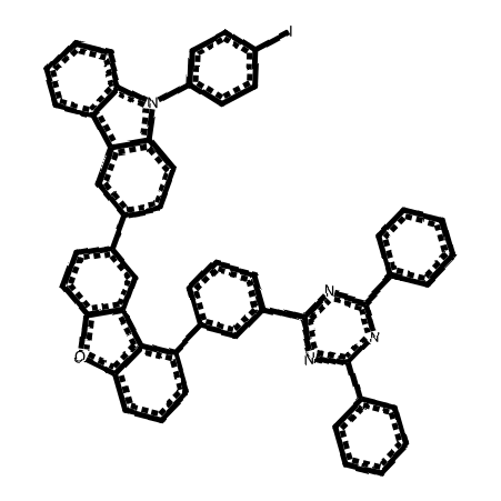 Ic1ccc(-n2c3ccccc3c3cc(-c4ccc5oc6cccc(-c7cccc(-c8nc(-c9ccccc9)nc(-c9ccccc9)n8)c7)c6c5c4)ccc32)cc1